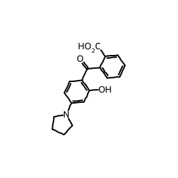 O=C(O)c1ccccc1C(=O)c1ccc(N2CCCC2)cc1O